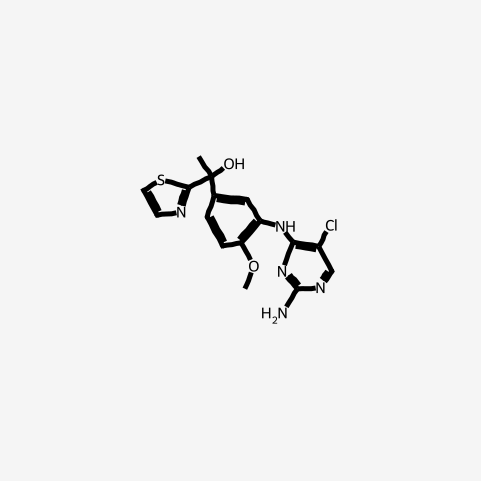 COc1ccc(C(C)(O)c2nccs2)cc1Nc1nc(N)ncc1Cl